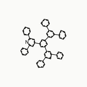 c1ccc(-c2cc(-c3ccccc3)cc(-c3cc(-c4cc(-c5ccccc5)cc(-c5ccccc5)c4)cc(-c4cc(-c5ccccc5)nc(-c5ccccc5)c4)c3)c2)cc1